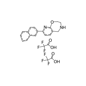 O=C(O)C(F)(F)F.O=C(O)C(F)(F)F.c1ccc2cc(-c3ccc4c(n3)OCCNC4)ccc2c1